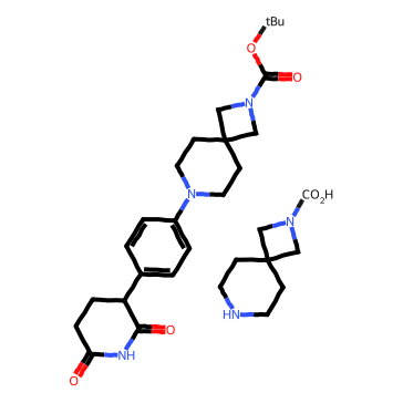 CC(C)(C)OC(=O)N1CC2(CCN(c3ccc(C4CCC(=O)NC4=O)cc3)CC2)C1.O=C(O)N1CC2(CCNCC2)C1